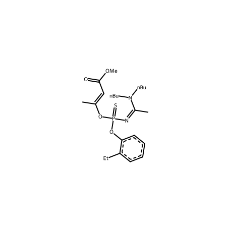 CCCCN(CCCC)C(C)=NP(=S)(OC(C)=CC(=O)OC)Oc1ccccc1CC